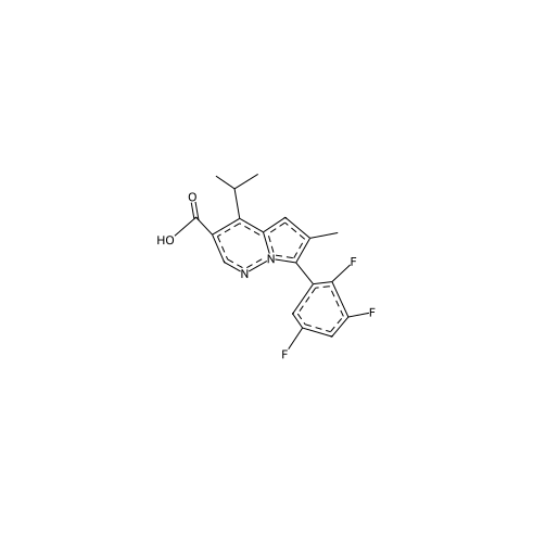 Cc1cc2c(C(C)C)c(C(=O)O)cnn2c1-c1cc(F)cc(F)c1F